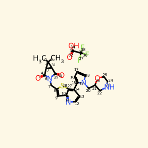 CC1(C)C2C(=O)N(Cc3cc4nccc(-c5cccn5CC5CNCCO5)c4s3)C(=O)C21.O=C(O)C(F)(F)F